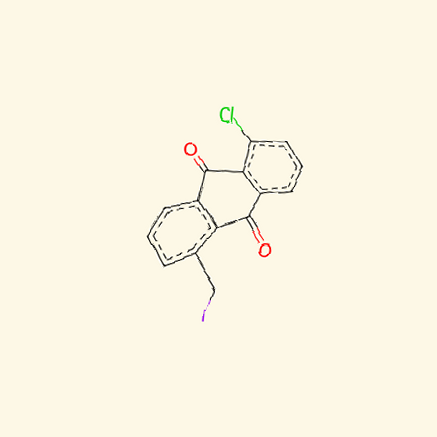 O=C1c2cccc(CI)c2C(=O)c2cccc(Cl)c21